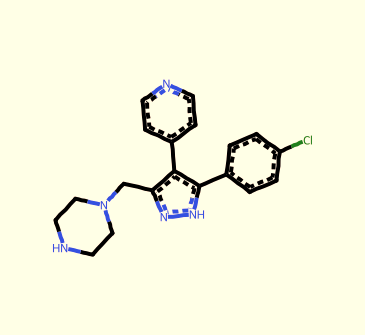 Clc1ccc(-c2[nH]nc(CN3CCNCC3)c2-c2ccncc2)cc1